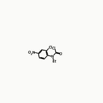 CCN(C(=O)Cl)c1ccc([N+](=O)[O-])cc1Cl